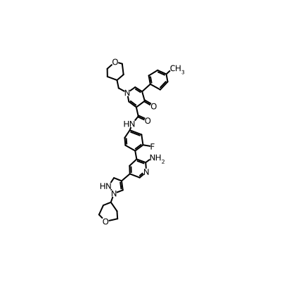 Cc1ccc(-c2cn(CC3CCOCC3)cc(C(=O)Nc3ccc(-c4cc(C5=CN(C6CCOCC6)NC5)cnc4N)c(F)c3)c2=O)cc1